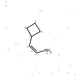 N/C=C\C1CCC1